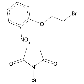 O=C1CCC(=O)N1Br.O=[N+]([O-])c1ccccc1OCCBr